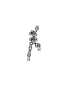 O=C(NS(=O)(=O)c1cnc(NCC2CCOCC2)c([N+](=O)[O-])c1)c1ccc(N2CCC3(CC2)CC(N2CCNCC2)C3)cc1Oc1cnc2[nH]ccc2c1